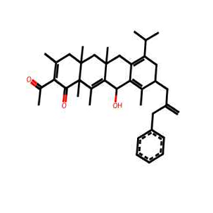 C=C(Cc1ccccc1)CC1CC(C(C)C)=C2CC3(C)CC4(C)CC(C)=C(C(C)=O)C(=O)C4(C)C(C)=C3C(O)C2=C1C